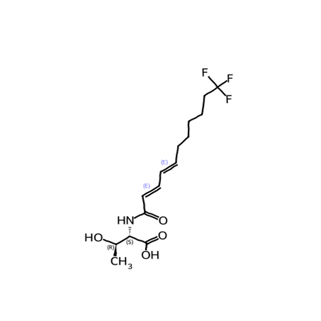 C[C@@H](O)[C@H](NC(=O)/C=C/C=C/CCCCCC(F)(F)F)C(=O)O